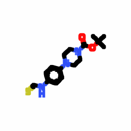 CC(C)(C)OC(=O)N1CCN(c2ccc(NC=S)cc2)CC1